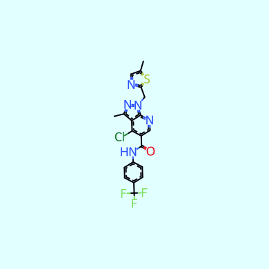 Cc1cnc(Cn2nc(C)c3c(Cl)c(C(=O)Nc4ccc(C(F)(F)F)cc4)cnc32)s1